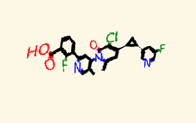 Cc1cnc(-c2cccc(C(=O)O)c2F)cc1-n1c(C)cc([C@H]2C[C@@H]2c2cncc(F)c2)c(Cl)c1=O